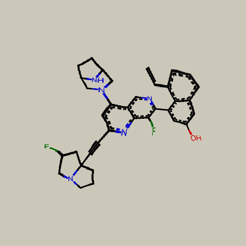 C=Cc1cccc2cc(O)cc(-c3ncc4c(N5CC6CCC(C5)N6)cc(C#CC56CCCN5CC(F)C6)nc4c3F)c12